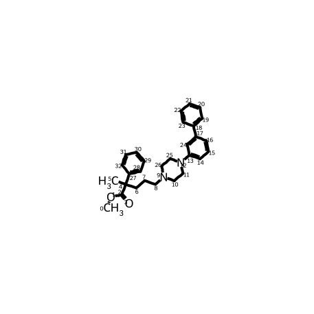 COC(=O)C(C)(CCCN1CCN(c2cccc(-c3ccccc3)c2)CC1)c1ccccc1